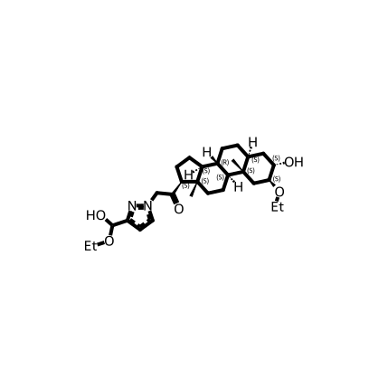 CCOC(O)c1ccn(CC(=O)[C@H]2CC[C@H]3[C@@H]4CC[C@H]5C[C@H](O)[C@@H](OCC)C[C@]5(C)[C@H]4CC[C@]23C)n1